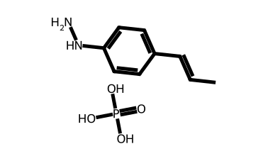 CC=Cc1ccc(NN)cc1.O=P(O)(O)O